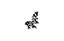 CC(=O)[C@H](CC(C)C)N(C)C(=O)C(CC(C)C)OC(=O)[C@H](Cc1ccccc1)NC(=O)[C@H](CC(C)C)NC(=O)[C@@H](C)C(C)C